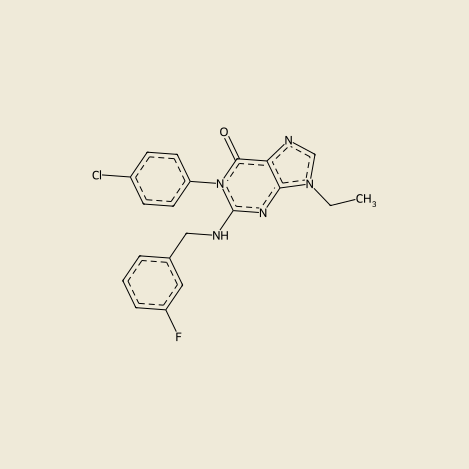 CCn1cnc2c(=O)n(-c3ccc(Cl)cc3)c(NCc3cccc(F)c3)nc21